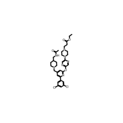 CCOC(=O)CCN1CCN(c2cnc(Oc3cc(CN4CCC(CNC(C)=O)CC4)cc(-c4cc(Cl)cc(Cl)c4)n3)cn2)CC1